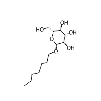 CCCCCCCO[C@H]1O[C@H](CO)[C@@H](O)[C@H](O)[C@H]1O